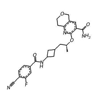 C[C@@H](CC1CC(NC(=O)c2ccc(C#N)c(F)c2)C1)Oc1nc2c(cc1C(N)=O)COCC2